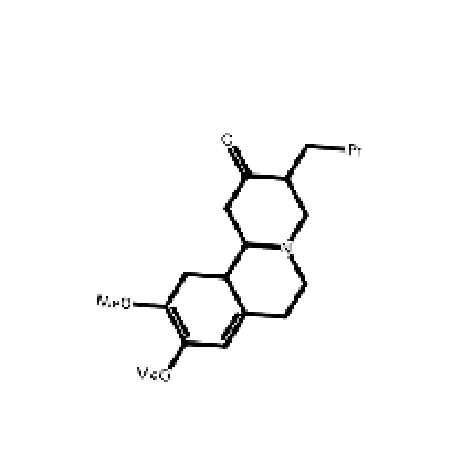 COC1=C(OC)CC2C(=C1)CCN1CC(CC(C)C)C(=O)CC21